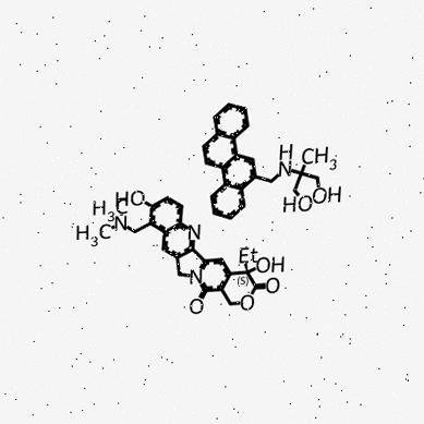 CC(CO)(CO)NCc1cc2c3ccccc3ccc2c2ccccc12.CC[C@@]1(O)C(=O)OCc2c1cc1n(c2=O)Cc2cc3c(CN(C)C)c(O)ccc3nc2-1